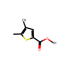 Cc1sc(C(=O)OC(C)C)cc1C#N